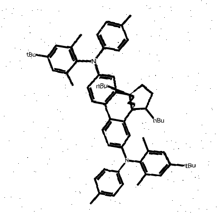 CCCCC1CC[C@]23c4cc(N(c5ccc(C)cc5)c5c(C)cc(C(C)(C)C)cc5C)ccc4-c4ccc(N(c5ccc(C)cc5)c5c(C)cc(C(C)(C)C)cc5C)cc4[C@]12CCC3CCCC